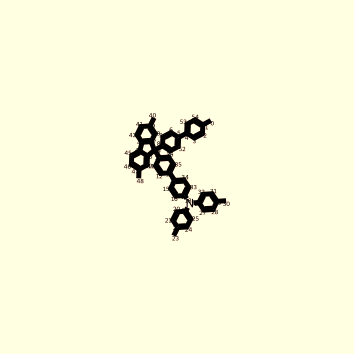 Cc1ccc(-c2ccc(C3(c4ccc(-c5ccc(N(c6ccc(C)cc6)c6ccc(C)cc6)cc5)cc4)c4cc(C)ccc4-c4ccc(C)cc43)cc2)cc1